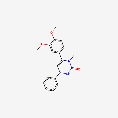 COc1ccc(C2=CC(c3ccccc3)NC(=O)N2C)cc1OC